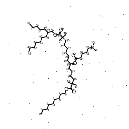 CCCCCCCCCOC(=O)C(C)(C)CCCCC(CCCCCCC(C)(C)C(=O)OCC(CCCCC)CCCCCCC)OC(=O)CCCCN(C)C